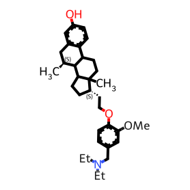 CCN(CC)Cc1ccc(OCC[C@@H]2CCC3C4C(CCC32C)c2ccc(O)cc2C[C@@H]4C)c(OC)c1